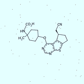 CC1(NC(=O)O)CCC(Oc2ncnc3sc4c(c23)[C@@H](CC#N)CC4)CC1